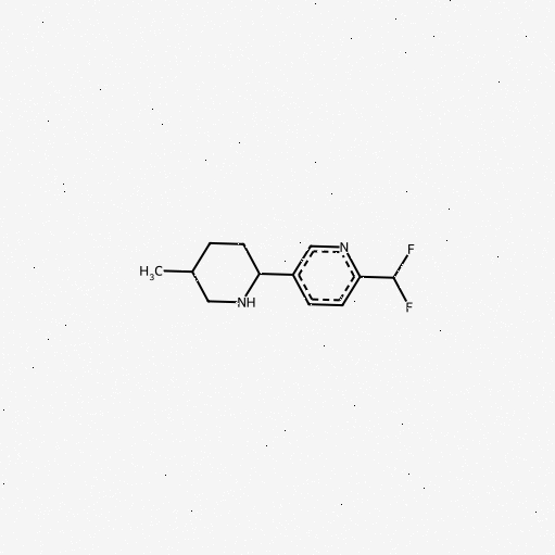 CC1CCC(c2ccc(C(F)F)nc2)NC1